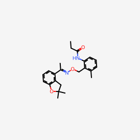 CCC(=O)Nc1cccc(C)c1CON=C(C)c1cccc2c1CC(C)(C)O2